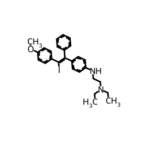 CCN(CC)CCNc1ccc(C(=C(I)c2ccc(OC)cc2)c2ccccc2)cc1